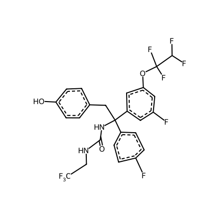 O=C(NCC(F)(F)F)NC(Cc1ccc(O)cc1)(c1ccc(F)cc1)c1cc(F)cc(OC(F)(F)C(F)F)c1